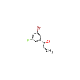 C=CC(=O)c1cc(F)cc(Br)c1